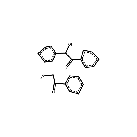 NCC(=O)c1ccccc1.O=C(c1ccccc1)C(O)c1ccccc1